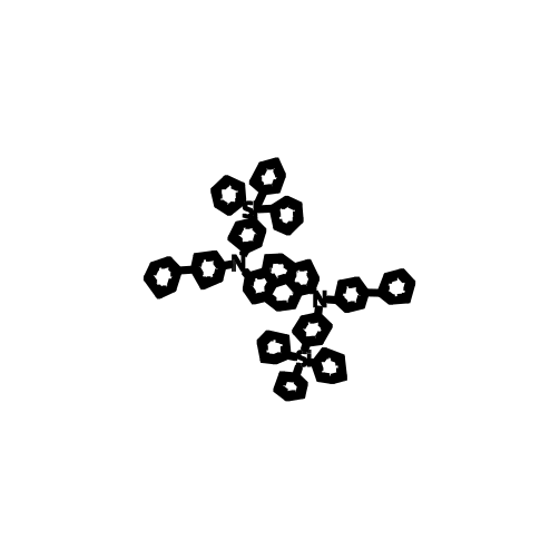 c1ccc(-c2ccc(N(c3ccc([Si](c4ccccc4)(c4ccccc4)c4ccccc4)cc3)c3ccc4ccc5c(N(c6ccc(-c7ccccc7)cc6)c6ccc([Si](c7ccccc7)(c7ccccc7)c7ccccc7)cc6)ccc6ccc3c4c65)cc2)cc1